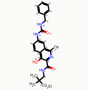 CCOC(=O)C(C)(C)CNC(=O)c1nc(C#N)c2cc(NC(=O)NCc3ccccc3)ccc2c1O